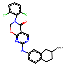 CNC1CCc2ccc(Nc3ncc4c(n3)OCN(c3c(Cl)cccc3Cl)C4=O)cc2C1